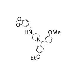 CCOc1ccc(C(c2cccc(OC)c2)N2CCC(NCc3ccc4c(c3)OCO4)CC2)cc1